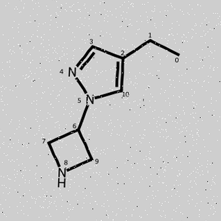 CCc1cnn(C2CNC2)c1